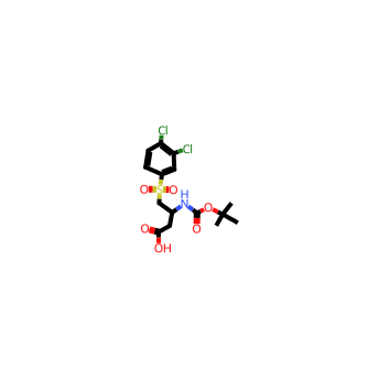 CC(C)(C)OC(=O)NC(CC(=O)O)CS(=O)(=O)c1ccc(Cl)c(Cl)c1